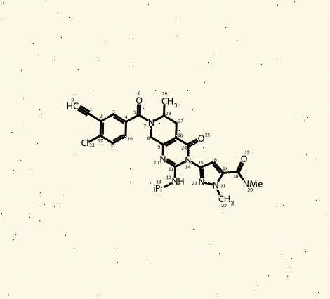 C#Cc1cc(C(=O)N2Cc3nc(NC(C)C)n(-c4cc(C(=O)NC)n(C)n4)c(=O)c3CC2C)ccc1Cl